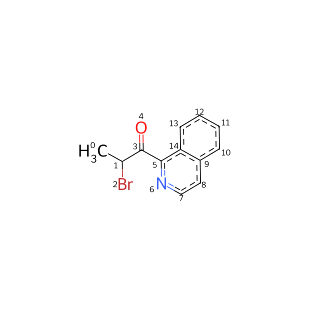 CC(Br)C(=O)c1nccc2ccccc12